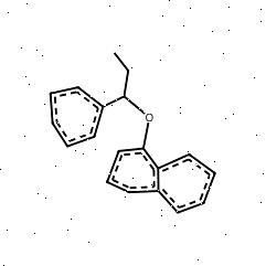 CCC(Oc1cccc2ccccc12)c1ccccc1